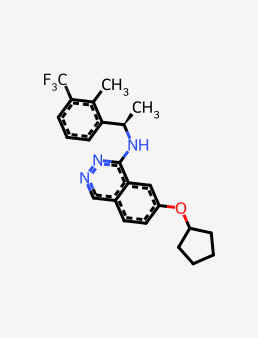 Cc1c([C@@H](C)Nc2nncc3ccc(OC4CCCC4)cc23)cccc1C(F)(F)F